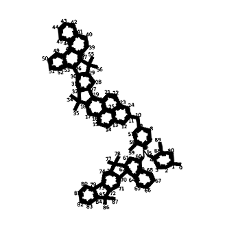 Cc1ccc(N(c2ccc(Cc3cc4ccc5cc6c(c7ccc(c3)c4c57)-c3cc4c(cc3C6(C)C)-c3c(c5ccc6ccccc6c5c5ccccc35)C4(C)C)cc2C)c2cc3c(c4ccccc24)-c2cc4c(cc2C3(C)C)-c2ccccc2C4(C)C)c(C)c1